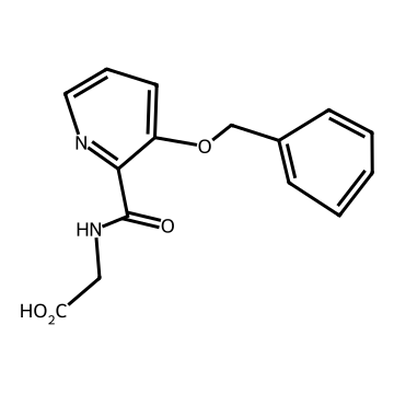 O=C(O)CNC(=O)c1ncccc1OCc1ccccc1